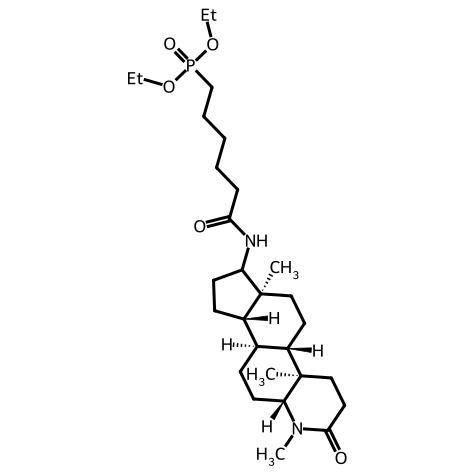 CCOP(=O)(CCCCCC(=O)NC1CC[C@H]2[C@@H]3CC[C@H]4N(C)C(=O)CC[C@]4(C)[C@H]3CC[C@]12C)OCC